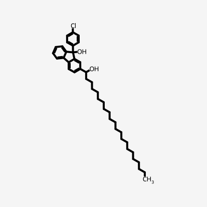 CCCCCCCCCCCCCCCCCCCCCC(O)c1ccc2c(c1)C(O)(c1ccc(Cl)cc1)c1ccccc1-2